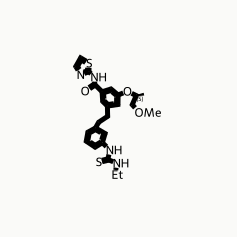 CCNC(=S)Nc1cccc(CCc2cc(O[C@@H](C)COC)cc(C(=O)Nc3nccs3)c2)c1